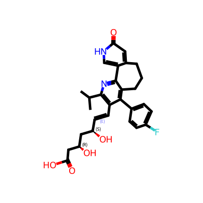 CC(C)c1nc2c(c(-c3ccc(F)cc3)c1/C=C/[C@@H](O)C[C@@H](O)CC(=O)O)CCCc1cc(=O)[nH]cc1-2